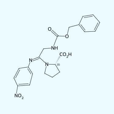 O=C(NCC(=Nc1ccc([N+](=O)[O-])cc1)N1CCC[C@H]1C(=O)O)OCc1ccccc1